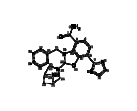 NC(=O)c1ccc(-c2nccs2)c2c1N(Cc1ccccc1)C(N1CC3CC(C1)N3)O2